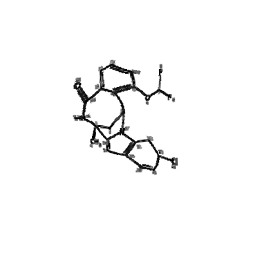 C[C@]12CC(c3c(OC(F)F)cccc3C(=O)N1)n1c2cc2c1CC(Cl)C=C2